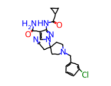 N#CCC1(n2cc(C(N)=O)c(NC(=O)C3CC3)n2)CCN(Cc2cccc(Cl)c2)CC1